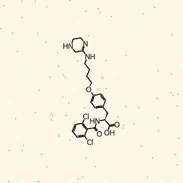 O=C(N[C@@H](Cc1ccc(OCCCCNC2=NCCNC2)cc1)C(=O)O)c1c(Cl)cccc1Cl